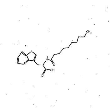 CCCCCCCCCC(=O)N[C@@H](Cc1csc2ccccc12)C(=O)O